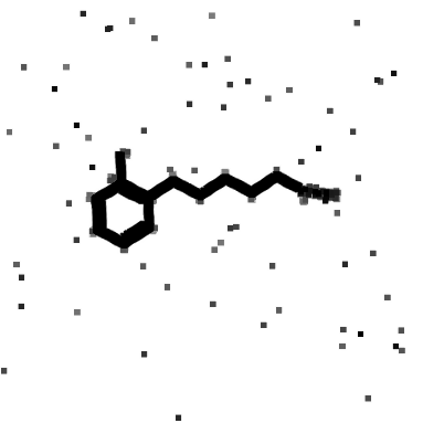 CCCCCCCCCCCCc1[c]cccc1C